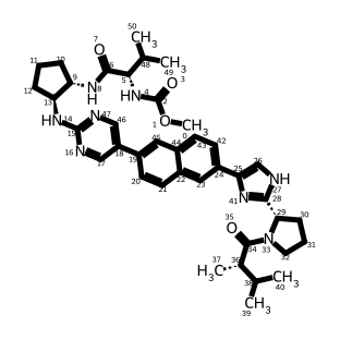 COC(=O)N[C@H](C(=O)N[C@H]1CCC[C@@H]1Nc1ncc(-c2ccc3cc(-c4c[nH]c([C@@H]5CCCN5C(=O)[C@@H](C)C(C)C)n4)ccc3c2)cn1)C(C)C